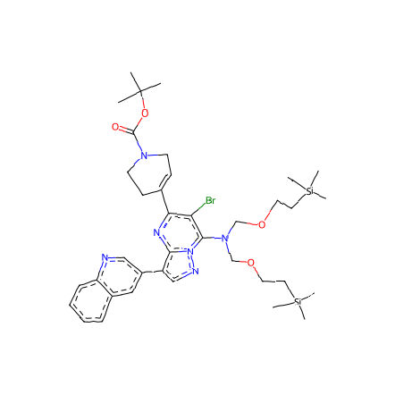 CC(C)(C)OC(=O)N1CC=C(c2nc3c(-c4cnc5ccccc5c4)cnn3c(N(COCC[Si](C)(C)C)COCC[Si](C)(C)C)c2Br)CC1